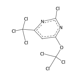 Clc1nc(OC(Cl)(Cl)Cl)cc(C(Cl)(Cl)Cl)n1